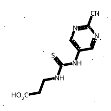 N#Cc1ncc(NC(=S)NCCC(=O)O)cn1